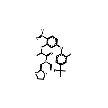 CCN(CC1OCCO1)C(=O)C(C)Oc1cc(Oc2ccc(C(F)(F)F)cc2Cl)ccc1[N+](=O)[O-]